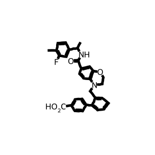 Cc1ccc(C(C)NC(=O)c2ccc3c(c2)OCCN3Cc2ccccc2-c2ccc(C(=O)O)cc2)cc1F